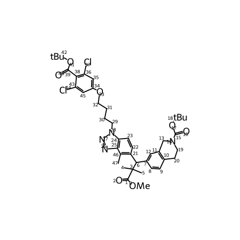 COC(=O)C(C)(C)C(c1ccc2c(c1)CN(C(=O)OC(C)(C)C)CC2)c1ccc2c(nnn2CCCCOc2cc(Cl)c(C(=O)OC(C)(C)C)c(Cl)c2)c1C